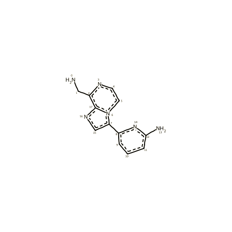 NCc1nccn2c(-c3cccc(N)n3)cnc12